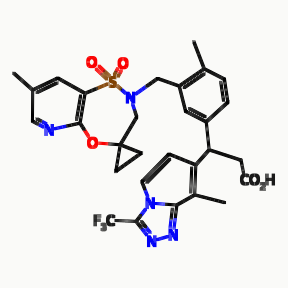 Cc1cnc2c(c1)S(=O)(=O)N(Cc1cc(C(CC(=O)O)c3ccn4c(C(F)(F)F)nnc4c3C)ccc1C)CC1(CC1)O2